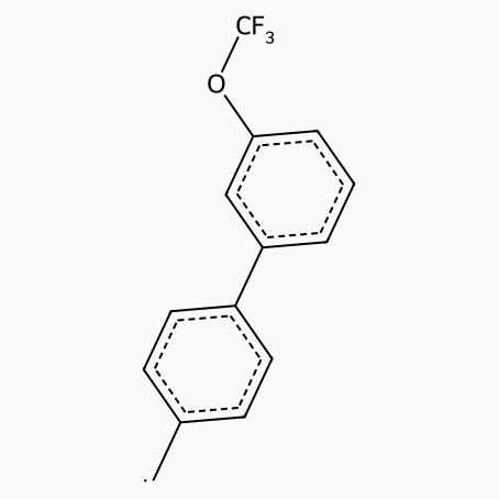 [CH2]c1ccc(-c2cccc(OC(F)(F)F)c2)cc1